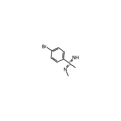 CN=S(C)(=N)c1ccc(Br)cc1